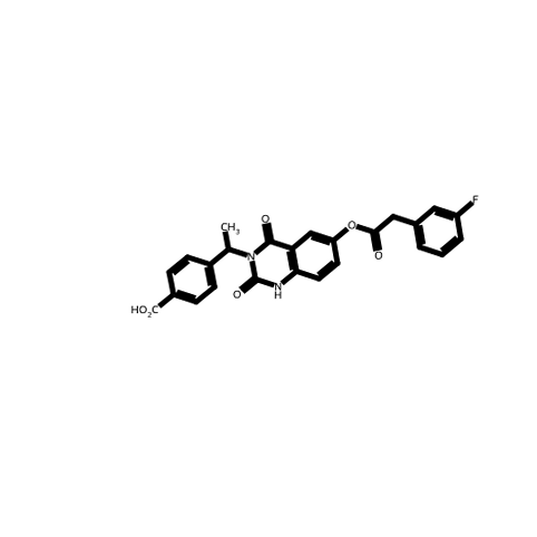 CC(c1ccc(C(=O)O)cc1)n1c(=O)[nH]c2ccc(OC(=O)Cc3cccc(F)c3)cc2c1=O